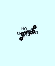 O=C(Cc1cc(Cl)cc(Oc2ccccc2)c1Cl)[O][Al+][O]C(=O)Cc1cc(Cl)cc(Oc2ccccc2)c1Cl.[OH-]